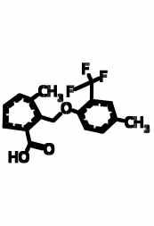 Cc1ccc(OCc2c(C)cccc2C(=O)O)c(C(F)(F)F)c1